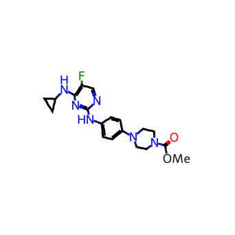 COC(=O)N1CCN(c2ccc(Nc3ncc(F)c(NC4CC4)n3)cc2)CC1